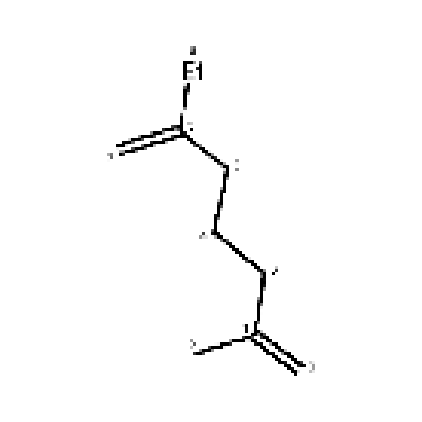 C=C(C)CCCC(=C)CC